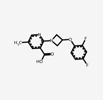 Cc1cnc(N2CC(Oc3ccc(F)cc3F)C2)c(C(=O)O)c1